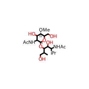 CO[C@@H]1C(CO)O[C@@H](OC(C(C)CO)C(O)C(NC(C)=O)C(C)C)C(NC(C)=O)C1O